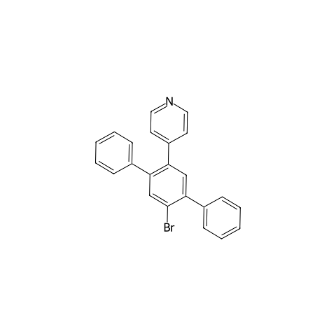 Brc1cc(-c2ccccc2)c(-c2ccncc2)cc1-c1ccccc1